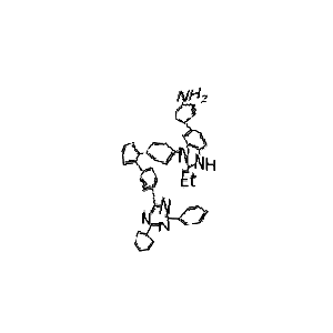 CCC1Nc2ccc(-c3ccc(N)cc3)cc2N1c1ccc(-c2ccccc2-c2ccc(-c3nc(-c4ccccc4)nc(-c4ccccc4)n3)cc2)cc1